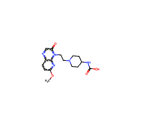 COc1ccc2ncc(=O)n(CCN3CCC(NC(=O)O)CC3)c2n1